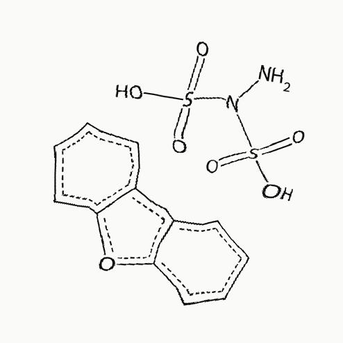 NN(S(=O)(=O)O)S(=O)(=O)O.c1ccc2c(c1)oc1ccccc12